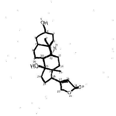 CC12CCC(O)CC1CCC1[C@@H]2CCC2(C)C(C3=CC(=O)OC3)CCC12O